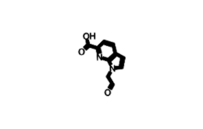 O=CCn1ccc2ccc(C(=O)O)nc21